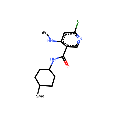 CSC1CCC(NC(=O)c2cnc(Cl)cc2NC(C)C)CC1